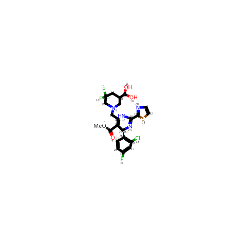 COC(=O)C1=C(CN2CC(C(O)O)CC(F)(F)C2)NC(c2nccs2)=N[C@H]1c1ccc(F)cc1Cl